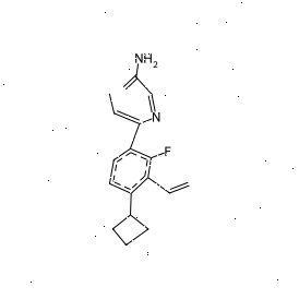 C=Cc1c(C2CCC2)ccc(C(=C/C)/N=C\C(=C)N)c1F